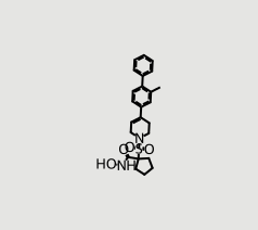 Cc1cc(C2=CCN(S(=O)(=O)C3(C(=O)NO)CCCC3)CC2)ccc1-c1ccccc1